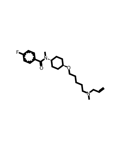 C=CCN(C)CCCCCO[C@H]1CC[C@H](N(C)C(=O)c2ccc(F)cc2)CC1